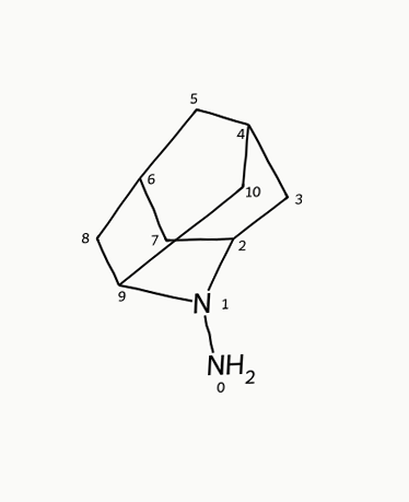 NN1C2CC3CC(C2)CC1C3